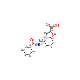 O=C(N/N=C1\CCCc2oc(C(=O)O)cc21)C1=CCCCC1